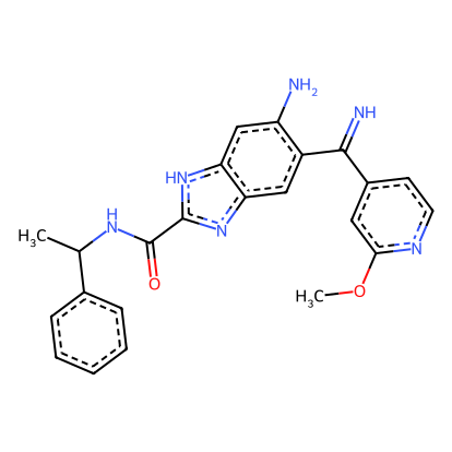 COc1cc(C(=N)c2cc3nc(C(=O)NC(C)c4ccccc4)[nH]c3cc2N)ccn1